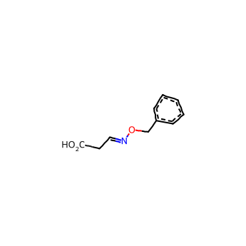 O=C(O)C/C=N/OCc1ccccc1